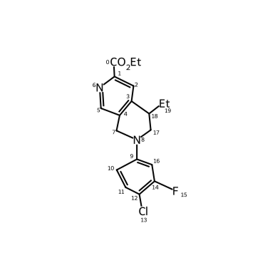 CCOC(=O)c1cc2c(cn1)CN(c1ccc(Cl)c(F)c1)CC2CC